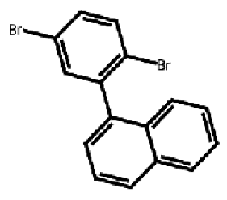 Brc1ccc(Br)c(-c2cccc3ccccc23)c1